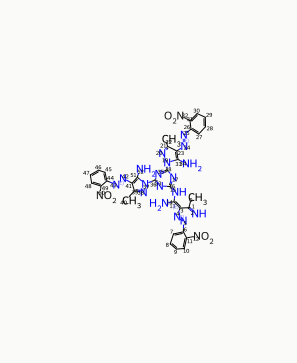 CC(=N)C(/N=N/c1ccccc1[N+](=O)[O-])=C(/N)Nc1nc(-n2nc(C)c(/N=N/c3ccccc3[N+](=O)[O-])c2N)nc(-n2nc(C)c(/N=N/c3ccccc3[N+](=O)[O-])c2N)n1